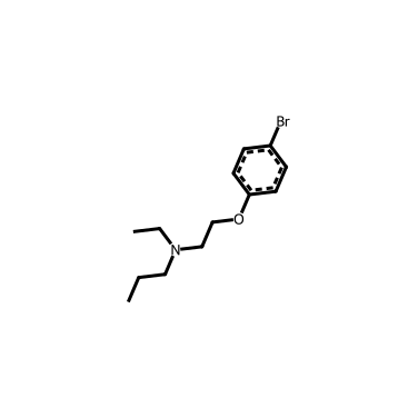 CCCN(CC)CCOc1ccc(Br)cc1